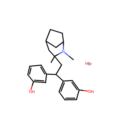 Br.CN1C2CCC(C2)CC1(C)CC(c1cccc(O)c1)c1cccc(O)c1